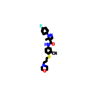 Cc1c(C(=O)Nc2ccc(SCCCN3CCOCC3)c(C#N)c2)cnn1-c1ccc(F)cc1